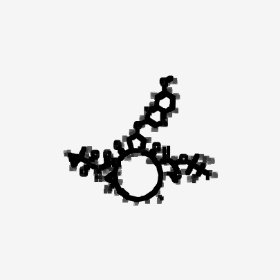 CC[C@@H]1C[C@H](C)CC/C=C\[C@@H]2C[C@@]2(C(=O)NS(=O)(=O)C2(C)CC2)NC(=O)C2C[C@@H](Oc3cnc4ccc(OC)cc4n3)CN2C(=O)[C@H]1NC(=O)OC(C)(C)C(F)(F)F